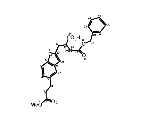 COC(=O)CCc1ccc2oc(CC(NC(=O)OCc3ccccc3)C(=O)O)cc2c1